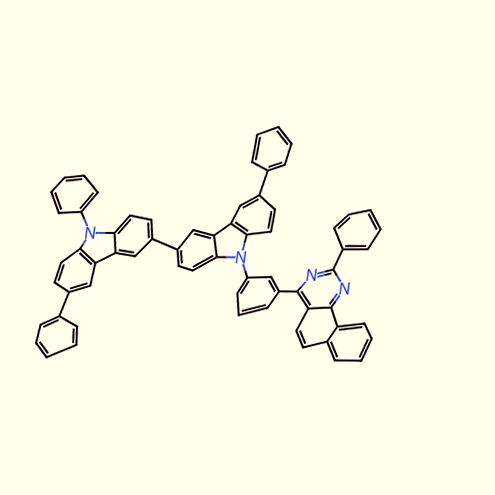 c1ccc(-c2ccc3c(c2)c2cc(-c4ccc5c(c4)c4cc(-c6ccccc6)ccc4n5-c4cccc(-c5nc(-c6ccccc6)nc6c5ccc5ccccc56)c4)ccc2n3-c2ccccc2)cc1